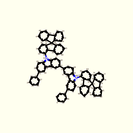 c1ccc(-c2ccc3c(c2)c2cc(-c4ccc5c(c4)c4cc(-c6ccccc6)ccc4n5-c4cccc5c4-c4ccccc4C54c5ccccc5-c5ccccc54)ccc2n3-c2cccc3c2-c2ccccc2C32c3ccccc3-c3ccccc32)cc1